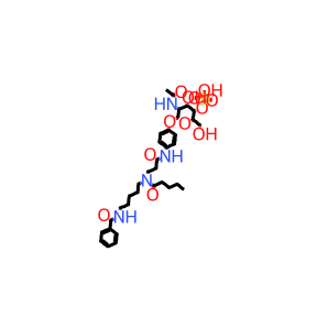 CCCCC(=O)N(CCCCCNC(=O)c1ccccc1)CCC(=O)Nc1ccc(OC2OC(CO)C(OS(=O)(=O)O)C(O)C2NC(C)=O)cc1